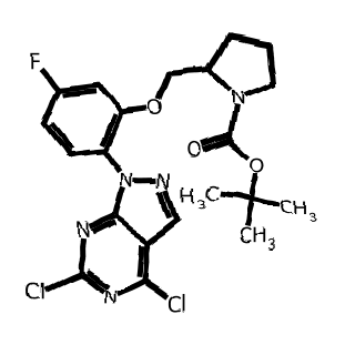 CC(C)(C)OC(=O)N1CCCC1COc1cc(F)ccc1-n1ncc2c(Cl)nc(Cl)nc21